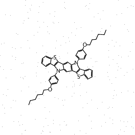 CCCCCCOc1ccc(-n2c3cc4c5sc6ccccc6c5n(-c5ccc(OCCCCCC)cc5)c4cc3c3sc4ccccc4c32)cc1